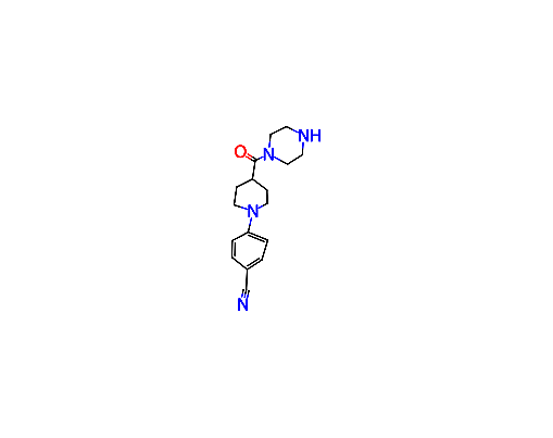 N#Cc1ccc(N2CCC(C(=O)N3CCNCC3)CC2)cc1